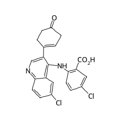 O=C1CC=C(c2cnc3ccc(Cl)cc3c2Nc2ccc(Cl)cc2C(=O)O)CC1